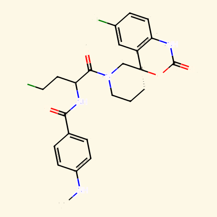 O=C(O)Nc1ccc(C(=O)NC(CCF)C(=O)N2CCC[C@@]3(C2)OC(=O)Nc2ccc(Cl)cc23)cc1